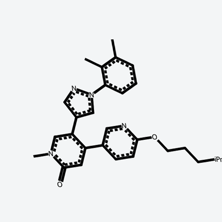 Cc1cccc(-n2cc(-c3cn(C)c(=O)cc3-c3ccc(OCCCC(C)C)nc3)cn2)c1C